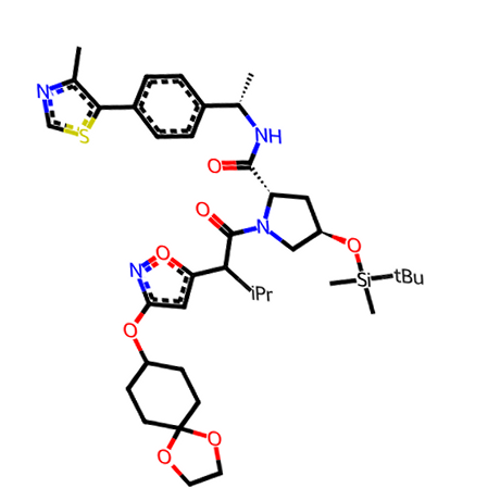 Cc1ncsc1-c1ccc([C@H](C)NC(=O)[C@@H]2C[C@@H](O[Si](C)(C)C(C)(C)C)CN2C(=O)C(c2cc(OC3CCC4(CC3)OCCO4)no2)C(C)C)cc1